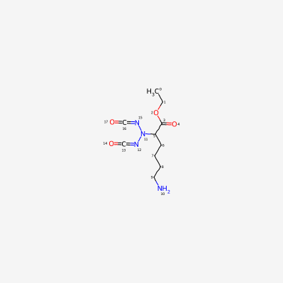 CCOC(=O)C(CCCCN)N(N=C=O)N=C=O